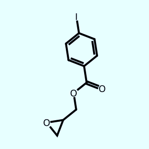 O=C(OCC1CO1)c1ccc(I)cc1